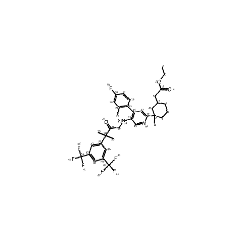 CCOC(=O)CC1CCCC(C)(c2cc(-c3ccc(F)cc3C)c(NCC(=O)C(C)(C)c3cc(C(F)(F)F)cc(C(F)(F)F)c3)cn2)C1